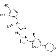 N#C/C(=C\c1ccc(O)c(O)c1)C(=O)Nc1nc(-c2ncc(N3CCOCC3)cc2F)cs1